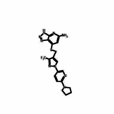 Nc1cc(SCc2cn(-c3ccc(N4CCCC4)nc3)nc2C(F)(F)F)c2nn[nH]c2n1